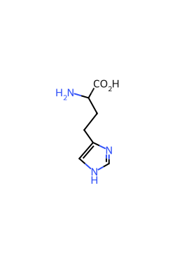 NC(CCc1c[nH]cn1)C(=O)O